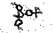 CCC(C)(C)c1ccc([I+](OS(=O)(=O)c2ccc(C)cc2)c2ccc(C)cc2)cc1